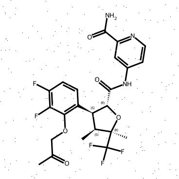 CC(=O)COc1c([C@H]2[C@H](C(=O)Nc3ccnc(C(N)=O)c3)O[C@@](C)(C(F)(F)F)[C@H]2C)ccc(F)c1F